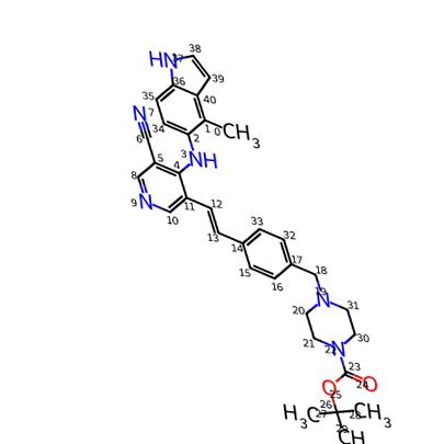 Cc1c(Nc2c(C#N)cncc2C=Cc2ccc(CN3CCN(C(=O)OC(C)(C)C)CC3)cc2)ccc2[nH]ccc12